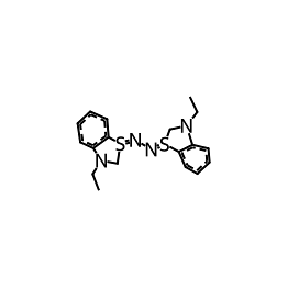 CCN1CS(=NN=S2CN(CC)c3ccccc32)c2ccccc21